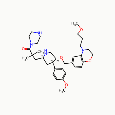 COCCCN1CCOc2ccc(CO[C@H]3CN[C@H](CC(C)(C)C(=O)N4CCNCC4)C[C@@H]3c3ccc(OC)cc3)cc21